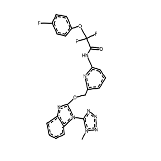 Cn1nnnc1-n1c(OCc2cccc(NC(=O)C(F)(F)Oc3ccc(F)cc3)n2)nc2ccccc21